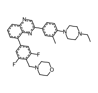 CCN1CCN(c2ccc(-c3cnc4cccc(-c5cc(F)c(CN6CCOCC6)c(F)c5)c4n3)cc2C)CC1